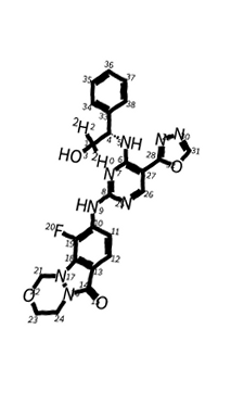 [2H]C([2H])(O)[C@@H](Nc1nc(Nc2ccc3c(=O)n4n(c3c2F)COCC4)ncc1-c1nnco1)c1ccccc1